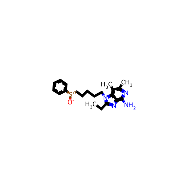 CCc1nc2c(N)nc(C)c(C)c2n1CCCCC[S+]([O-])c1ccccc1